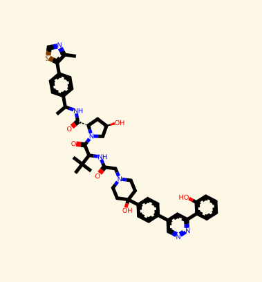 Cc1ncsc1-c1ccc(C(C)NC(=O)[C@@H]2C[C@@H](O)CN2C(=O)C(NC(=O)CN2CCC(O)(c3ccc(-c4cnnc(-c5ccccc5O)c4)cc3)CC2)C(C)(C)C)cc1